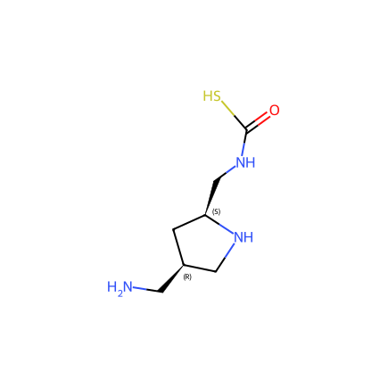 NC[C@@H]1CN[C@H](CNC(=O)S)C1